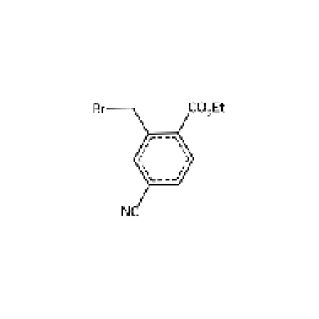 CCOC(=O)c1ccc(C#N)cc1CBr